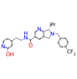 CC(C)[C@H]1c2ncc(C(=O)NCCc3ccnc(O)c3)cc2CN1Cc1ccc(C(F)(F)F)cc1